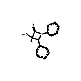 CCC1(OC(C)=O)C(=O)N(c2ccccc2)C1c1ccccc1